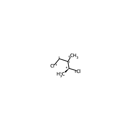 CC(CCl)[C@H](C)Cl